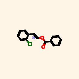 O=C(O/C=C/c1ccccc1Cl)c1ccccc1